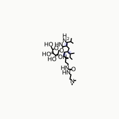 C=C(/C=C\C(C/C(C(=N)OC1OC(CO)[C@@H](O)C(O)[C@H]1O)=C(/N)C(C)C)=C(\C)CC)CCNC(=O)NCCN(C)C